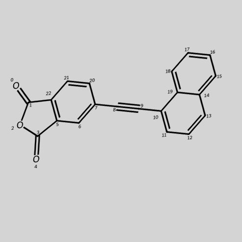 O=C1OC(=O)c2cc(C#Cc3cccc4ccccc34)ccc21